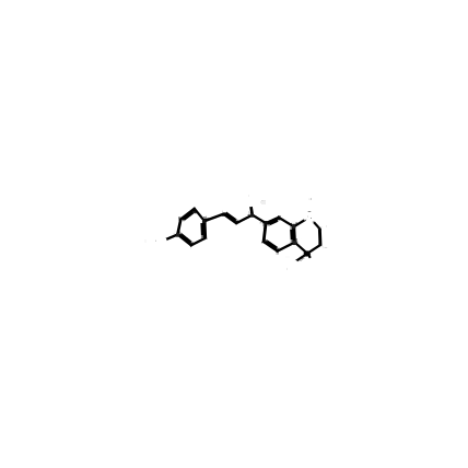 CCCCCC(C=Cc1ccc(C(=O)O)cc1)c1ccc2c(c1)N(CC)CCC2(C)C